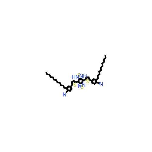 CCCCCCCCCCCCc1cc(-c2ccc(-c3c4c(c(-c5ccc(-c6ccc(C#N)c(CCCCCCCCCCCC)c6)s5)c5nsnc35)NSN4)s2)ccc1C#N